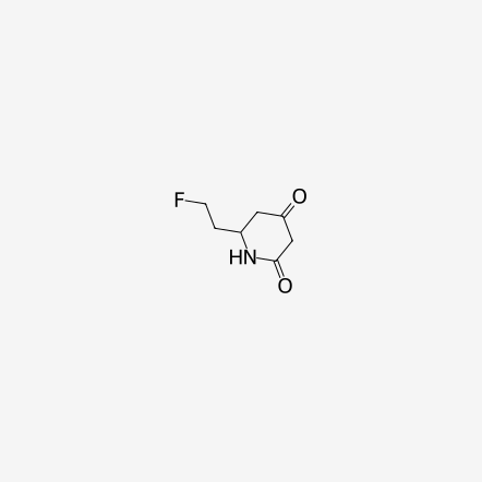 O=C1CC(=O)NC(CCF)C1